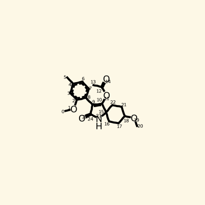 COc1cc(C)ccc1C1=C(OC(C)=O)C2(CCC(OC)CC2)NC1=O